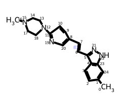 Cc1ccc2c(/C=C/c3ccc(N4CCN(C)CC4)nc3)n[nH]c2c1